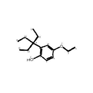 CCOc1ccc(O)c(C(CC)(CC)CC)c1